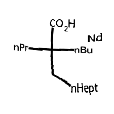 CCCCCCCCC(CCC)(CCCC)C(=O)O.[Nd]